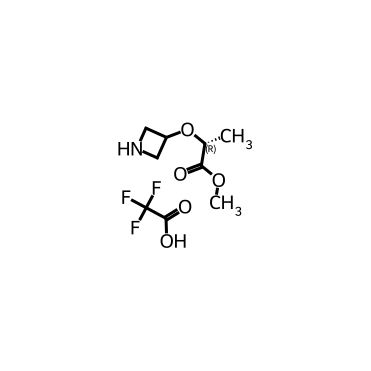 COC(=O)[C@@H](C)OC1CNC1.O=C(O)C(F)(F)F